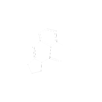 O=C(O)c1cccc2c1C(=O)C1CCCC1=N2